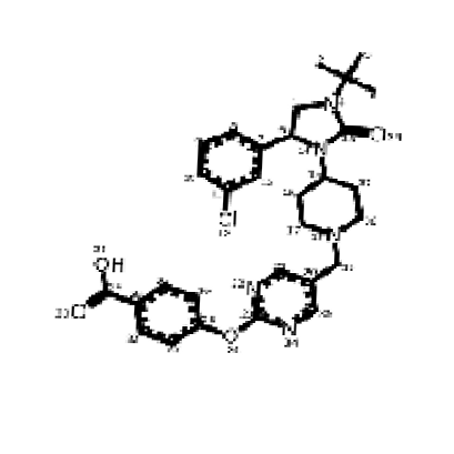 CC(C)(C)N1CC(c2cccc(Cl)c2)N(C2CCN(Cc3cnc(Oc4ccc(C(=O)O)cc4)nc3)CC2)C1=O